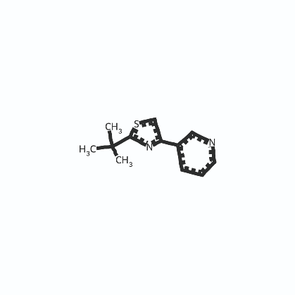 CC(C)(C)c1nc(-c2cccnc2)cs1